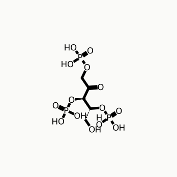 O=C(COP(=O)(O)O)[C@H](OP(=O)(O)O)[C@@H](CO)OP(=O)(O)O